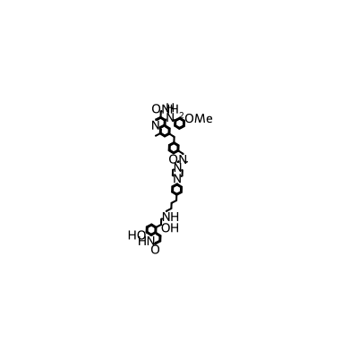 COc1cccc(Nc2c(C(N)=O)cnc3c(C)cc(Cc4cccc(CN(C)C(=O)N5CCN(c6ccc(CCCCNC[C@H](O)c7ccc(O)c8[nH]c(=O)ccc78)cc6)CC5)c4)cc23)c1